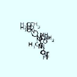 Cc1nn(Cc2cccc(C(F)(F)F)c2)cc1-c1nn(C2CCCN(C(=O)OC(C)(C)C)CCC2)c(N)c1C(N)=O